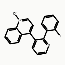 [O-][n+]1ccc(-c2cccnc2-c2ccccc2F)c2ccccc21